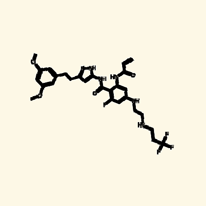 C=CC(=O)Nc1cc(NCCNCCC(F)(F)F)cc(F)c1C(=O)Nc1cc(CCc2cc(OC)cc(OC)c2)n[nH]1